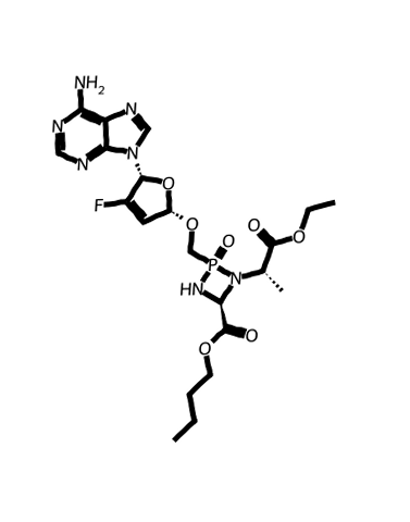 CCCCOC(=O)[C@H]1NP(=O)(CO[C@@H]2C=C(F)[C@H](n3cnc4c(N)ncnc43)O2)N1[C@@H](C)C(=O)OCC